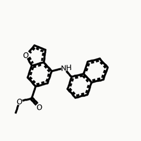 COC(=O)c1cc(Nc2cccc3ccccc23)c2ccoc2c1